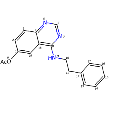 CC(=O)Oc1ccc2ncnc(NCCc3ccccc3)c2c1